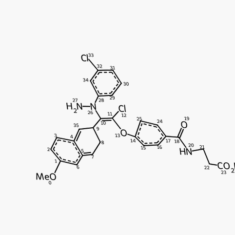 COc1ccc2c(c1)=CCC(/C(=C(/Cl)Oc1ccc(C(=O)NCCC(=O)O)cc1)N(N)c1cccc(Cl)c1)C=2